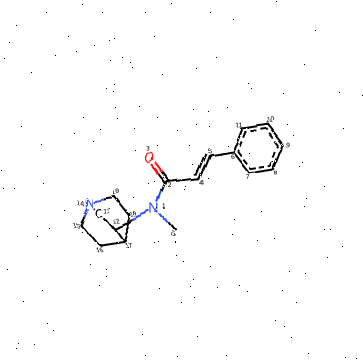 CN(C(=O)C=Cc1ccccc1)C1CN2CCC1CC2